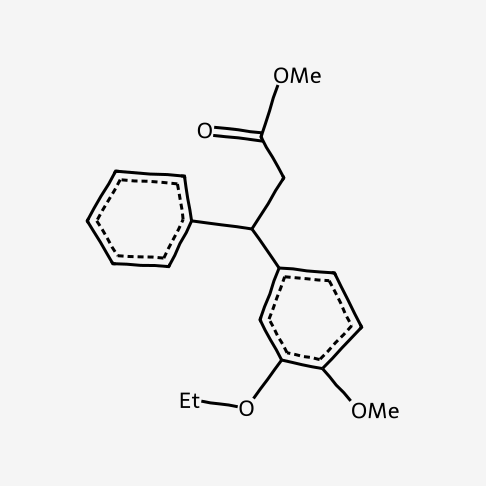 CCOc1cc(C(CC(=O)OC)c2ccccc2)ccc1OC